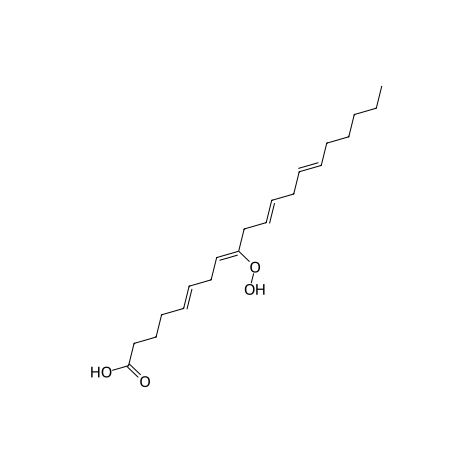 CCCCCC=CCC=CCC(=CCC=CCCCC(=O)O)OO